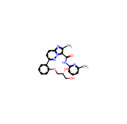 Cc1cccc(NC(=O)c2c(C)nc3ccc(-c4ccccc4OC[C@H](O)CO)nn23)n1